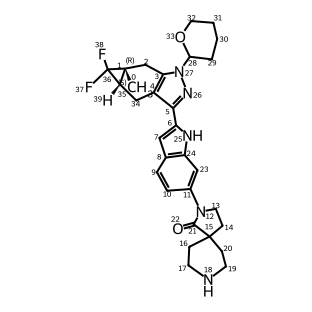 C[C@@]12Cc3c(c(-c4cc5ccc(N6CCC7(CCNCC7)C6=O)cc5[nH]4)nn3C3CCCCO3)C[C@@H]1C2(F)F